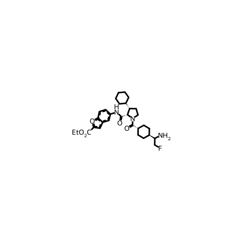 CCOC(=O)c1cc2cc(NC(=O)[C@@H]3[C@H](C4CCCCC4)CCN3C(=O)[C@H]3CC[C@H](C(N)CF)CC3)ccc2o1